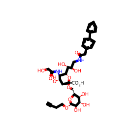 C#CCCO[C@@H]1O[C@H](CO[C@]2(C(=O)O)C[C@H](O)[C@@H](NC(=O)CO)[C@H]([C@H](O)[C@H](O)CNC(=O)Cc3ccc(-c4ccccc4)cc3)O2)[C@H](O)[C@H](O)[C@H]1O